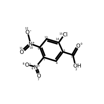 O=C(O)c1cc([N+](=O)[O-])c([N+](=O)[O-])cc1Cl